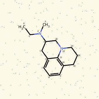 CCN(C)C1Cc2cccc3c2N(CCC3)C1